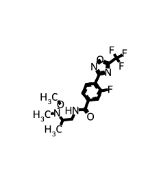 CON(C)C(C)CNC(=O)c1ccc(-c2noc(C(F)(F)F)n2)c(F)c1